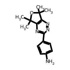 CC1(C)OC(C)(C)c2nc(-c3ccc(N)cc3)nnc21